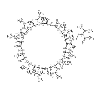 CC(=O)N(CC[C@@H](C)[C@@H](O)[C@@H]1C(=O)N[C@H]([C@@H](C)O)C(=O)N(C)CC(=O)N(C)[C@@H](CC(C)C)C(=O)N[C@H](CC(C)C)C(=O)N(C)[C@H](CC(C)C)C(=O)N[C@H](C)C(=O)O[C@@H](C(C)C)C(=O)N(C)[C@H](CC(C)C)C(=O)N[C@H](CC(C)C)C(=O)N(C)[C@H](C(C)C)C(=O)N1C)C(C)C